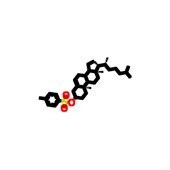 Cc1ccc(S(=O)(=O)OC2CC[C@@]3(C)C(=CCC4C3CC[C@@]3(C)C4CC[C@@H]3[C@H](C)CCCC(C)C)C2)cc1